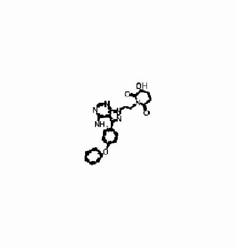 Nc1ncnc2c1c(-c1ccc(Oc3ccccc3)cc1)nn2CCN1C(=O)CC[C@@H](O)C1=O